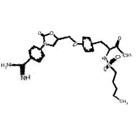 CCCCCS(=O)(=O)NC(Cc1ccc(OCC2CN(c3ccc(C(=N)N)cc3)C(=O)O2)cc1)C(=O)O